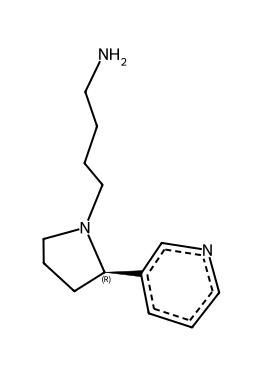 NCCCCN1CCC[C@@H]1c1cccnc1